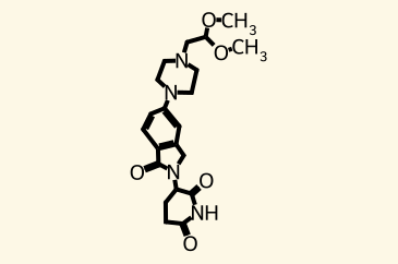 COC(CN1CCN(c2ccc3c(c2)CN(C2CCC(=O)NC2=O)C3=O)CC1)OC